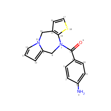 Nc1ccc(C(=O)N2Cc3cccn3Cc3ccsc32)cc1